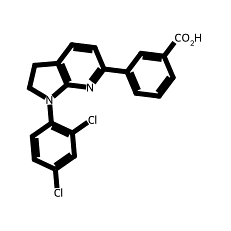 O=C(O)c1cccc(-c2ccc3c(n2)N(c2ccc(Cl)cc2Cl)CC3)c1